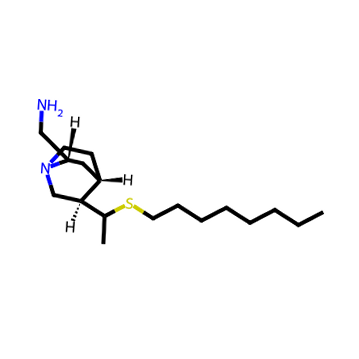 CCCCCCCCSC(C)[C@H]1CN2CC[C@H]1C[C@H]2CN